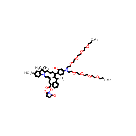 C=C(/C(C)=C(/C=C/C=C1\N(CCCCCC(=O)ON2C(=O)CCC2=O)c2ccc(S(=O)(=O)O)cc2C1(C)C)c1ccc(N(CCOCCOCCOCCOCCOC)CCOCCOCCOCCOCCOC)cc1O)c1ccccc1